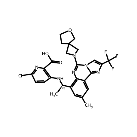 Cc1cc([C@@H](C)Nc2ccc(Cl)nc2C(=O)O)c2nc(N3CC4(CCOC4)C3)n3cc(C(F)(F)F)nc3c2c1